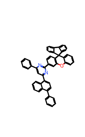 c1ccc(-c2cc(-c3ccc(-c4ccccc4)c4ccccc34)nc(-c3ccc4c(c3)Oc3ccccc3C43c4ccccc4-c4ccccc43)n2)cc1